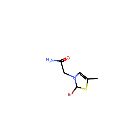 CC1=CN(CC(N)=O)C(Br)S1